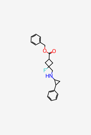 O=C(OCc1ccccc1)C1CC(F)(CNC2CC2c2ccccc2)C1